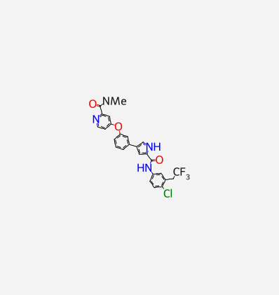 CNC(=O)c1cc(Oc2cccc(-c3c[nH]c(C(=O)Nc4ccc(Cl)c(CC(F)(F)F)c4)c3)c2)ccn1